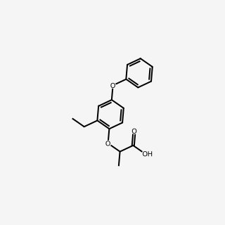 CCc1cc(Oc2ccccc2)ccc1OC(C)C(=O)O